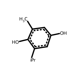 Cc1cc(O)cc(C(C)C)c1O